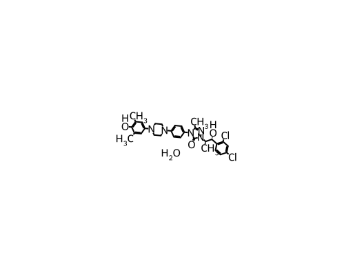 Cc1cc(N2CCN(c3ccc(-n4c(C)nn([C@H](C)[C@H](O)c5ccc(Cl)cc5Cl)c4=O)cc3)CC2)cc(C)c1O.O